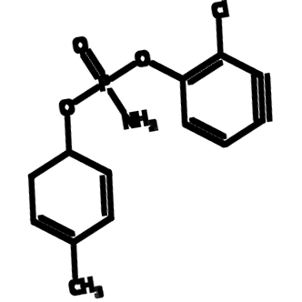 CC1=CCC(OP(N)(=O)Oc2ccc#cc2Cl)C=C1